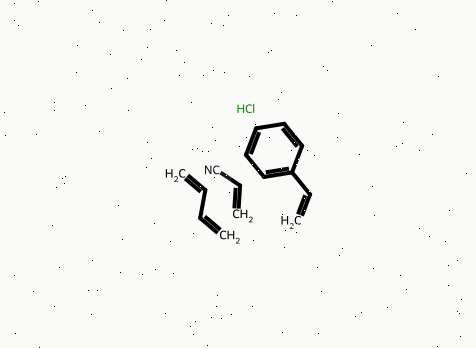 C=CC#N.C=CC=C.C=Cc1ccccc1.Cl